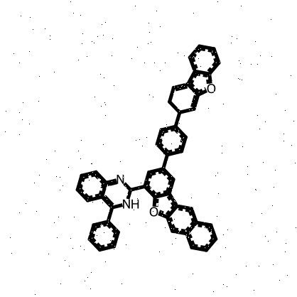 C1=c2oc3ccccc3c2=CCC1c1ccc(-c2cc(C3N=c4ccccc4=C(c4ccccc4)N3)c3oc4cc5ccccc5cc4c3c2)cc1